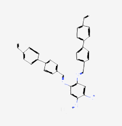 C=Cc1ccc(-c2ccc(C=Nc3cc(N=C)c(N=C)cc3N=Cc3ccc(-c4ccc(C=C)cc4)cc3)cc2)cc1